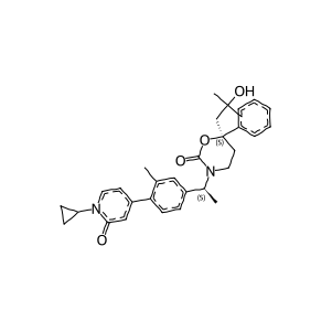 Cc1cc([C@H](C)N2CC[C@](CC(C)(C)O)(c3ccccc3)OC2=O)ccc1-c1ccn(C2CC2)c(=O)c1